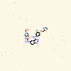 O=CN1CC2N=C(Nc3ccc4ncnc(Nc5ccc(OCC6=NCCS6)c(Cl)c5)c4c3)OC2C1